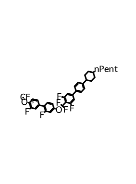 CCCCCC1CCC(c2ccc(-c3cc(F)c(C(F)(F)Oc4ccc(-c5ccc(OC(F)(F)F)c(F)c5)c(F)c4)c(F)c3)cc2)CC1